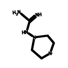 N=C(N)NN1CC[N]CC1